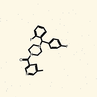 Cc1cncc(C(=O)N2CCN(C(c3ccc(F)cc3)c3ccccc3F)CC2)c1